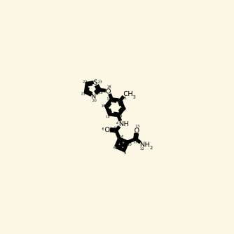 Cc1cc(NC(=O)C2C3CC2(C(N)=O)C3)ccc1Oc1nccs1